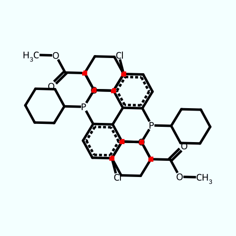 COC(=O)COc1c(Cl)ccc(P(C2CCCCC2)C2CCCCC2)c1-c1c(P(C2CCCCC2)C2CCCCC2)ccc(Cl)c1OCC(=O)OC